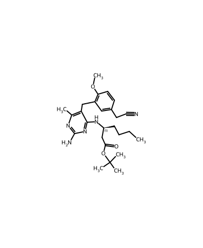 CCCC[C@@H](CC(=O)OC(C)(C)C)Nc1nc(N)nc(C)c1Cc1cc(CC#N)ccc1OC